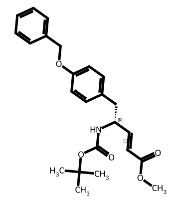 COC(=O)/C=C/[C@@H](Cc1ccc(OCc2ccccc2)cc1)NC(=O)OC(C)(C)C